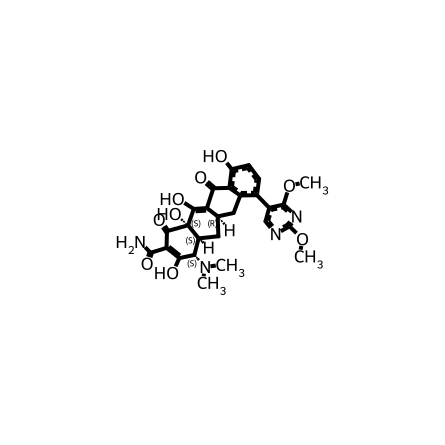 COc1ncc(-c2ccc(O)c3c2C[C@H]2C[C@H]4[C@H](N(C)C)C(O)=C(C(N)=O)C(=O)[C@@]4(O)C(O)=C2C3=O)c(OC)n1